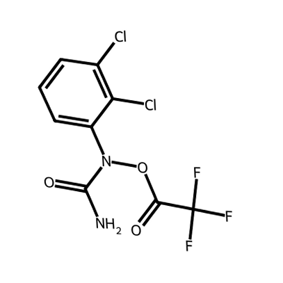 NC(=O)N(OC(=O)C(F)(F)F)c1cccc(Cl)c1Cl